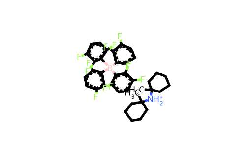 CC1([NH2+]C2(C)CCCCC2)CCCCC1.Fc1ccc(F)c([B-](c2c(F)ccc(F)c2F)(c2c(F)ccc(F)c2F)c2c(F)ccc(F)c2F)c1F